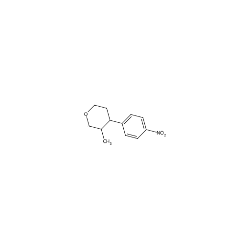 CC1[CH]OCCC1c1ccc([N+](=O)[O-])cc1